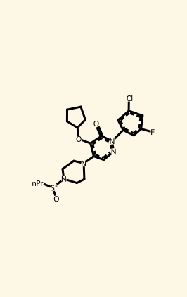 CCC[S+]([O-])N1CCN(c2cnn(-c3cc(F)cc(Cl)c3)c(=O)c2OC2CCCC2)CC1